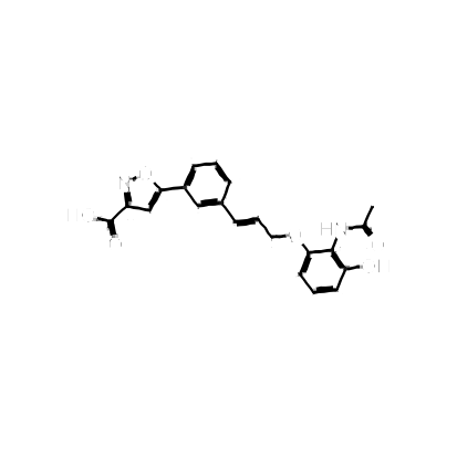 CC(=O)Nc1c(O)cccc1OC/C=C/c1cccc(-c2cc(C(=O)O)no2)c1